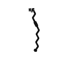 CCCC#CCCCCC[O]